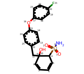 NS(=O)(=O)C1C=CC=CC1(O)Cc1ccc(Oc2ccc(F)cc2)cc1